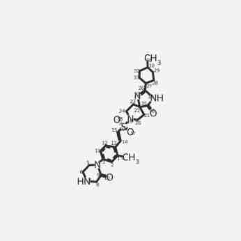 Cc1cc(N2CCNCC2=O)ccc1C=CS(=O)(=O)N1CCC2(CC1)N=C(C1CCC(C)CC1)NC2=O